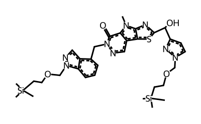 Cn1c2nc(C(O)c3ccn(COCC[Si](C)(C)C)n3)sc2c2cnn(Cc3cccc4c3cnn4COCC[Si](C)(C)C)c(=O)c21